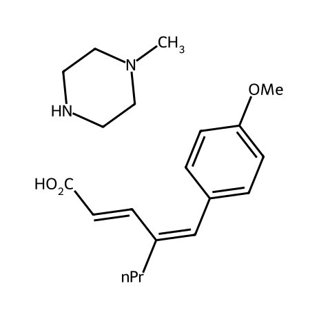 CCCC(C=CC(=O)O)=Cc1ccc(OC)cc1.CN1CCNCC1